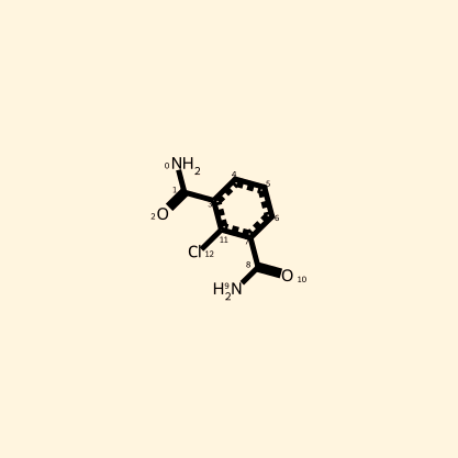 NC(=O)c1cccc(C(N)=O)c1Cl